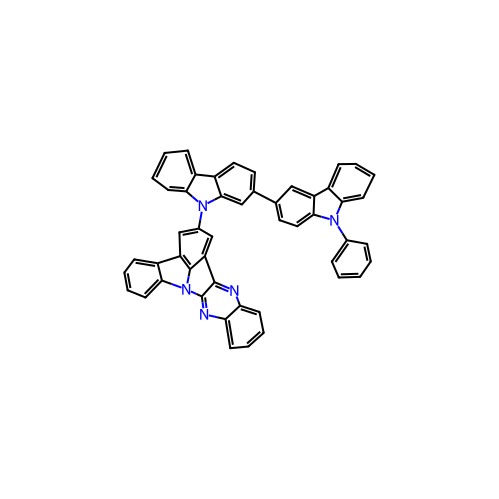 c1ccc(-n2c3ccccc3c3cc(-c4ccc5c6ccccc6n(-c6cc7c8ccccc8n8c9nc%10ccccc%10nc9c(c6)c78)c5c4)ccc32)cc1